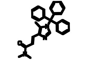 Cc1c(C=CC(=O)N(C)C)ncn1C(c1ccccc1)(c1ccccc1)c1ccccc1